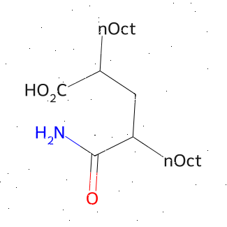 CCCCCCCCC(CC(CCCCCCCC)C(=O)O)C(N)=O